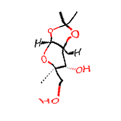 CC1(C)O[C@H]2O[C@](C)(CO)[C@@H](O)[C@H]2O1